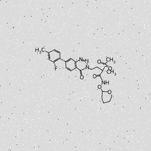 Cc1ccc(-c2ccc3c(=O)n(CC[C@](C)(C(=O)NOC4CCCCO4)S(C)(=O)=O)nnc3c2)c(F)c1